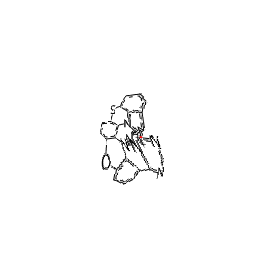 c1cc2c3c(c1)-c1ncnc[n+]1[N+]31c3c(ccc4c3-n3c5c(cccc5c5ccc[n+]1c53)S4)O2